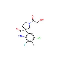 Cc1c(Cl)cc2c(c1F)NC(=O)[C@@]21CCN(C(=O)CO)C1